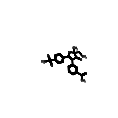 CCC1(C)OC(c2ccc(S(C)(=O)=O)cc2)=C(c2cccc(C(C)=O)c2)C1=O